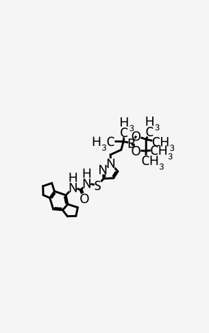 CC(C)(CCn1ccc(SNC(=O)Nc2c3c(cc4c2CCC4)CCC3)n1)B1OC(C)(C)C(C)(C)O1